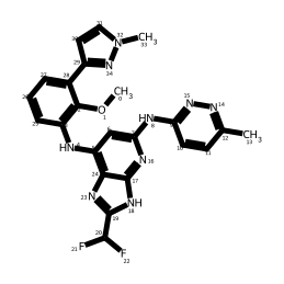 COc1c(Nc2cc(Nc3ccc(C)nn3)nc3[nH]c(C(F)F)nc23)cccc1-c1ccn(C)n1